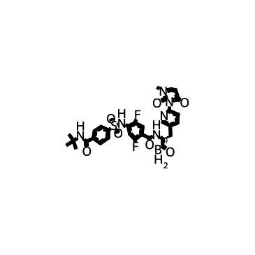 BC(=O)[C@H](Cc1ccc(-n2c(=O)ccn(C)c2=O)nc1)NC(=O)c1cc(F)c(NS(=O)(=O)c2ccc(C(=O)NC(C)(C)C)cc2)cc1F